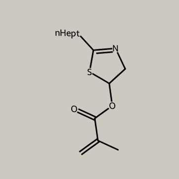 C=C(C)C(=O)OC1CN=C(CCCCCCC)S1